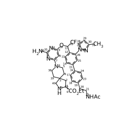 CCOC(=O)[C@@H]1CC2(CCN(c3cc(OC(c4ccc(-c5ccc(CCNC(C)=O)cc5)cc4-n4ccc(C)n4)C(F)(F)F)nc(N)n3)CC2)CN1